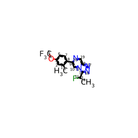 Cc1cc(OC(F)(F)F)ccc1-c1cn2c(C(C)F)nnc2cn1